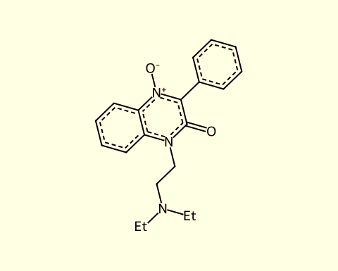 CCN(CC)CCn1c(=O)c(-c2ccccc2)[n+]([O-])c2ccccc21